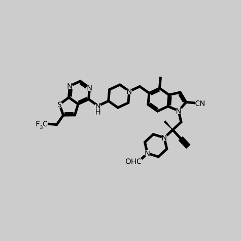 C#C[C@@](C)(Cn1c(C#N)cc2c(C)c(CN3CCC(Nc4ncnc5sc(CC(F)(F)F)cc45)CC3)ccc21)N1CCN(C=O)CC1